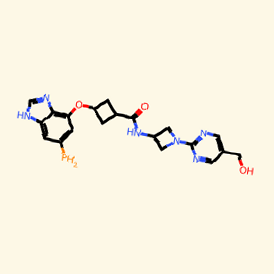 O=C(NC1CN(c2ncc(CO)cn2)C1)C1CC(Oc2cc(P)cc3[nH]cnc23)C1